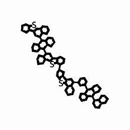 c1cc(-c2c3ccccc3c(-c3cccc4ccccc34)c3ccccc23)cc(-c2cc3c4cc(-c5cccc6c5sc5c7ccccc7c(-c7c8ccccc8c(-c8cc9c%10ccccc%10sc9c9ccccc89)c8ccccc78)cc65)ccc4sc3c3ccccc23)c1